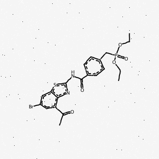 CCOP(=O)(Cc1ccc(C(=O)Nc2nc3c(C(C)=O)cc(Br)cc3s2)cc1)OCC